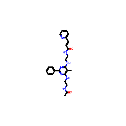 CC(=O)NCCNc1nc(-c2ccccc2)nc(NCCNC(=O)C=Cc2ccccn2)c1C